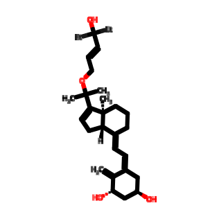 C=C1C(=CC=C2CCC[C@]3(C)C(C(C)(C)OC/C=C/C(O)(CC)CC)=CC[C@@H]23)C[C@@H](O)C[C@@H]1O